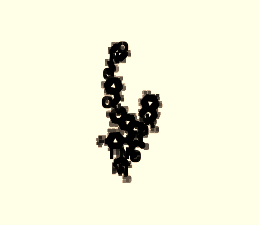 Cc1c(C(=O)Nc2cnn(C)c2)c(-c2ccc(F)cc2)c(-c2cc3c(cc2C(=O)N2Cc4ccccc4C[C@H]2C)CN(C(=O)Cc2ccc(OCCN4CCOCC4)cc2)CC3)n1C